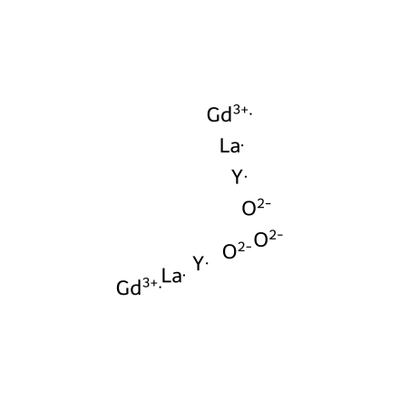 [Gd+3].[Gd+3].[La].[La].[O-2].[O-2].[O-2].[Y].[Y]